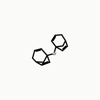 C1=C[C]2([Zr][C]34C=CCC(C=C3)C4)C=CC(C1)C2